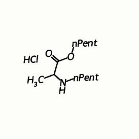 CCCCCNC(C)C(=O)OCCCCC.Cl